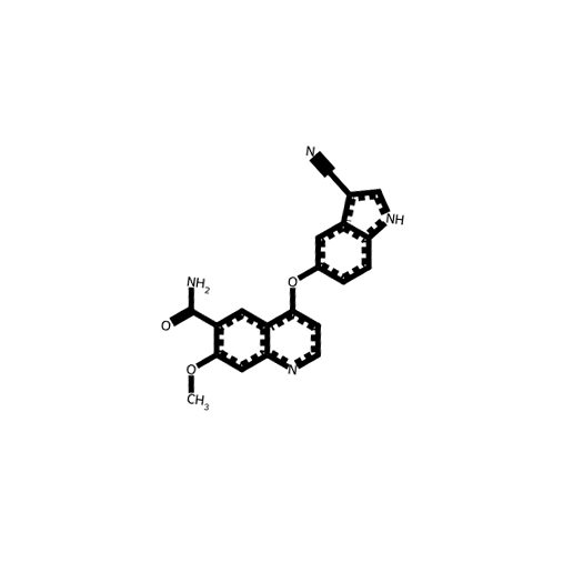 COc1cc2nccc(Oc3ccc4[nH]cc(C#N)c4c3)c2cc1C(N)=O